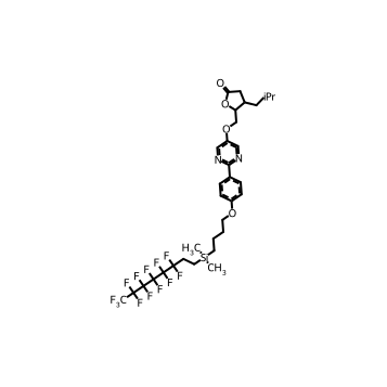 CC(C)CC1CC(=O)OC1COc1cnc(-c2ccc(OCCCC[Si](C)(C)CCC(F)(F)C(F)(F)C(F)(F)C(F)(F)C(F)(F)C(F)(F)F)cc2)nc1